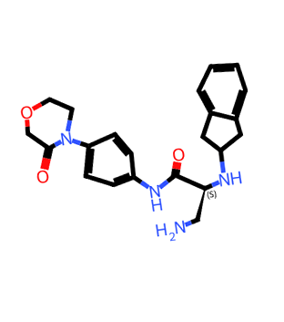 NC[C@H](NC1Cc2ccccc2C1)C(=O)Nc1ccc(N2CCOCC2=O)cc1